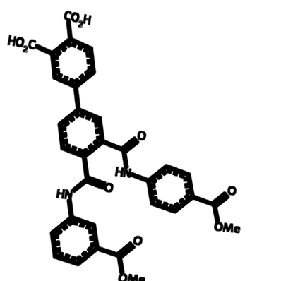 COC(=O)c1ccc(NC(=O)c2cc(-c3ccc(C(=O)O)c(C(=O)O)c3)ccc2C(=O)Nc2cccc(C(=O)OC)c2)cc1